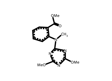 COC(=O)c1ccccc1N(C)c1nc(OC)nc(OC)n1